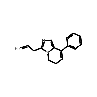 C=CCc1ncc2n1CCC=C2c1ccccc1